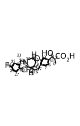 C[C@H](C(=O)O)[C@@H](O)c1ccc2c(c1)O[C@H]1CC[C@@H](CC2)CN([C@@H](C)c2cc(F)ccc2C(F)(F)F)C1